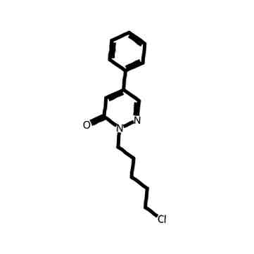 O=c1cc(-c2ccccc2)cnn1CCCCCCl